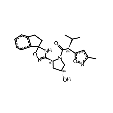 Cc1cc([C@@H](C(=O)N2C[C@H](O)C[C@H]2C2=NOC3(CCc4ccccc43)N2)C(C)C)on1